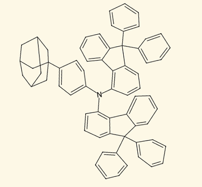 c1ccc(C2(c3ccccc3)c3ccccc3-c3c(N(c4ccc(C56CC7CC(CC(C7)C5)C6)cc4)c4cccc5c4-c4ccccc4C5(c4ccccc4)c4ccccc4)cccc32)cc1